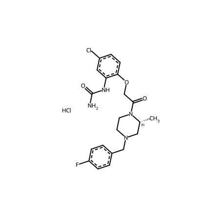 C[C@@H]1CN(Cc2ccc(F)cc2)CCN1C(=O)COc1ccc(Cl)cc1NC(N)=O.Cl